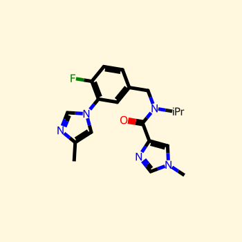 Cc1cn(-c2cc(CN(C(=O)c3cn(C)cn3)C(C)C)ccc2F)cn1